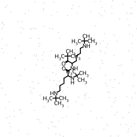 CC(C)(C)NCCCCC(NC(C)(C)C)C(=O)NC(CCCCNC(C)(C)C)C(=O)C(C)(C)C